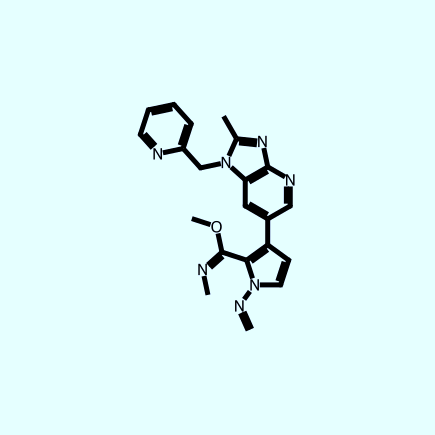 C=Nn1ccc(-c2cnc3nc(C)n(Cc4ccccn4)c3c2)c1/C(=N\C)OC